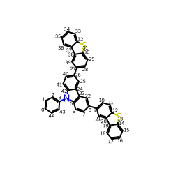 c1ccc(-n2c3ccc(-c4ccc5sc6ccccc6c5c4)cc3c3cc(-c4ccc5sc6ccccc6c5c4)ccc32)cc1